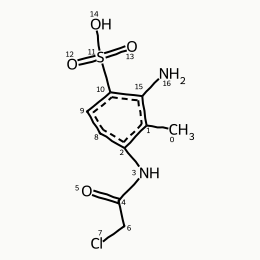 Cc1c(NC(=O)CCl)ccc(S(=O)(=O)O)c1N